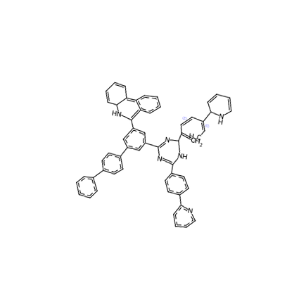 C=C(/C=C\C(=C/C)C1C=CC=CN1)C1N=C(c2cc(C3=c4ccccc4=C4C=CC=CC4N3)cc(-c3ccc(-c4ccccc4)cc3)c2)N=C(c2ccc(-c3ccccn3)cc2)N1